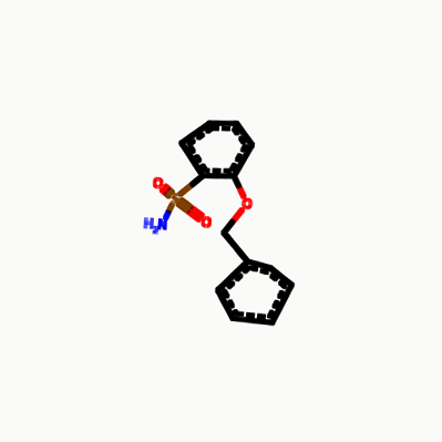 NS(=O)(=O)c1ccccc1OCc1ccccc1